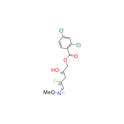 CO/N=C\[C@@H](F)C[C@H](O)COC(=O)c1ccc(Cl)cc1Cl